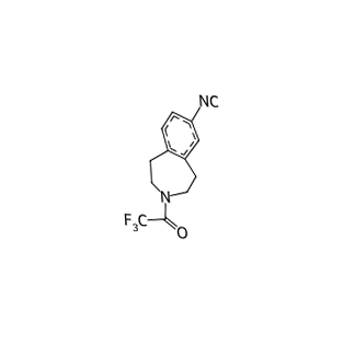 [C-]#[N+]c1ccc2c(c1)CCN(C(=O)C(F)(F)F)CC2